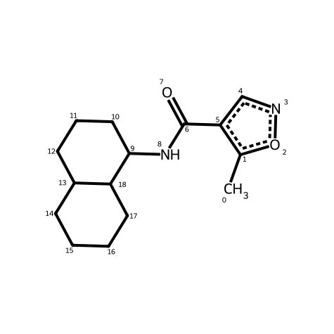 Cc1oncc1C(=O)NC1CCCC2CCCCC21